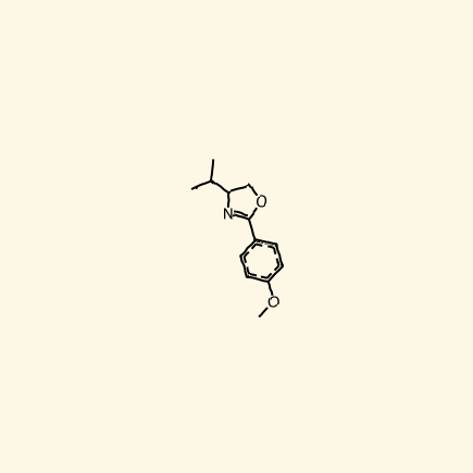 COc1ccc(C2=NC(C(C)C)CO2)cc1